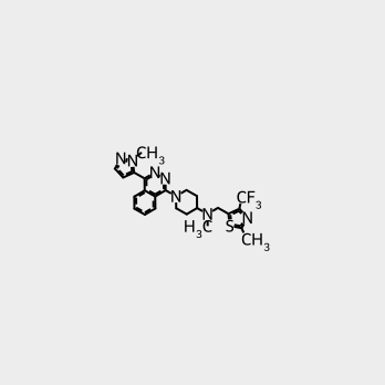 Cc1nc(C(F)(F)F)c(CN(C)C2CCN(c3nnc(-c4ccnn4C)c4ccccc34)CC2)s1